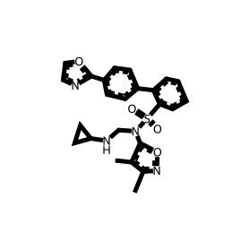 Cc1noc(N(CNC2CC2)S(=O)(=O)c2ccccc2-c2ccc(-c3ncco3)cc2)c1C